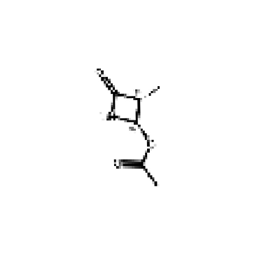 CC(=O)O[C@H]1NC(=O)[C@@H]1C